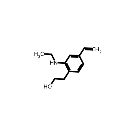 C=Cc1ccc(CCO)c(NCC)c1